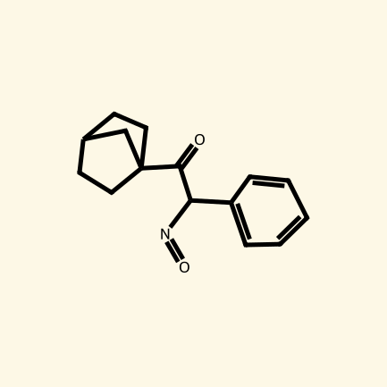 O=NC(C(=O)C12CCC(CC1)C2)c1ccccc1